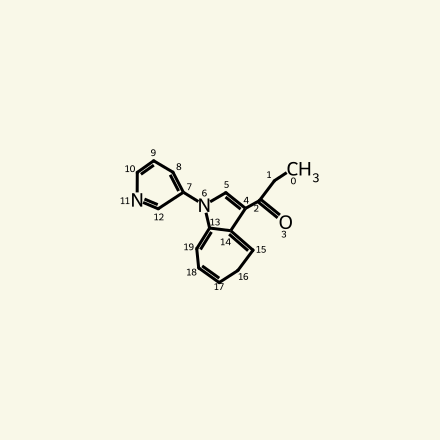 CCC(=O)c1cn(-c2cccnc2)c2c1=CCC=CC=2